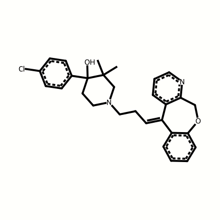 CC1(C)CN(CC/C=C2/c3ccccc3OCc3ncccc32)CCC1(O)c1ccc(Cl)cc1